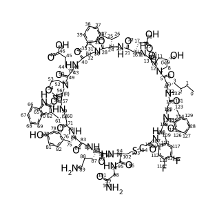 CCCC[C@H]1C(=O)N2C[C@@H](O)C[C@@H]2C(=O)N[C@@H](CC(=O)O)C(=O)N[C@@H](C(C)C)C(=O)N(C)[C@@H](Cc2ccccc2)C(=O)N[C@@H](CCC(=O)O)C(=O)N2CCOC[C@@H]2C(=O)N[C@@H](Cc2c[nH]c3ccccc23)C(=O)N[C@@H](Cc2ccc(O)cc2)C(=O)N[C@@H](CCCN)C(=O)N[C@H](C(=O)NCC(N)=O)CSCC(=O)N[C@@H](Cc2ccc(F)c(F)c2)C(=O)N(C)[C@@H](Cc2ccccc2)C(=O)N1C